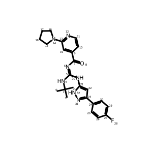 CC(C)(C)N/C(=N/C(=O)c1ccnc(N2CCCC2)c1)Nc1cc(-c2ccc(F)cc2)n[nH]1